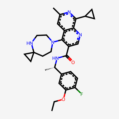 CCOc1cc([C@H](C)NC(=O)c2cnc3c(C4CC4)nc(C)cc3c2N2CCNC3(CC2)CC3)ccc1F